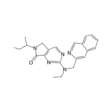 CCC(C)N1Cc2cnc(N(CC)Cc3cc4ccccc4cn3)nc2C1=O